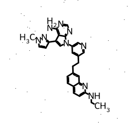 CCNc1ccc2ccc(CCc3cncc(-n4cc(-c5ccn(C)n5)c5c(N)ncnc54)c3)cc2n1